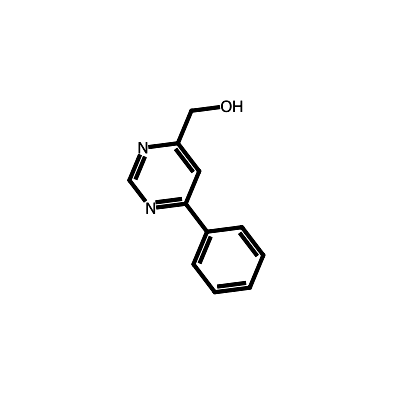 OCc1cc(-c2ccccc2)ncn1